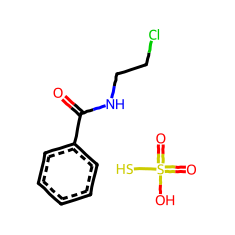 O=C(NCCCl)c1ccccc1.O=S(=O)(O)S